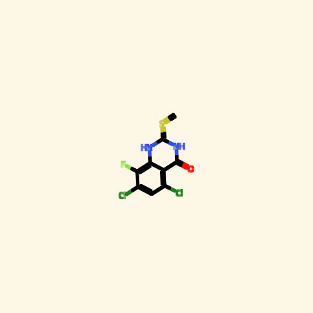 C=S=c1[nH]c(=O)c2c(Cl)cc(Cl)c(F)c2[nH]1